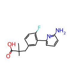 CC(C)(Cc1ccc(F)c(-c2cccc(N)n2)c1)C(=O)O